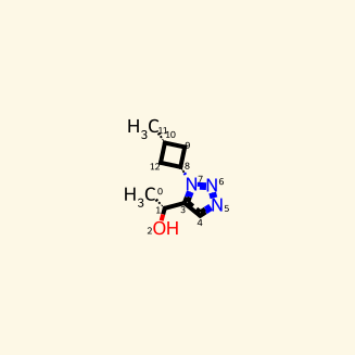 C[C@@H](O)c1cnnn1[C@H]1C[C@@H](C)C1